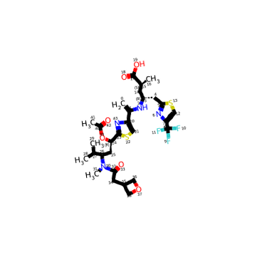 C=C(N[C@@H](Cc1nc(C(F)(F)F)cs1)C[C@H](C)C(=O)O)c1csc([C@@H](CC(C(C)C)N(C)C(=O)CC2COC2)OC(C)=O)n1